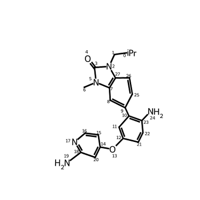 CC(C)Cn1c(=O)n(C)c2cc(-c3cc(Oc4ccnc(N)c4)ccc3N)ccc21